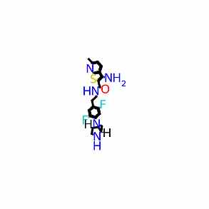 Cc1ccc2c(N)c(C(=O)NCCc3cc(F)c(N4C[C@@H]5C[C@H]4CN5)cc3F)sc2n1